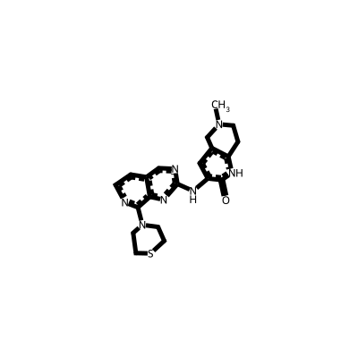 CN1CCc2[nH]c(=O)c(Nc3ncc4ccnc(N5CCSCC5)c4n3)cc2C1